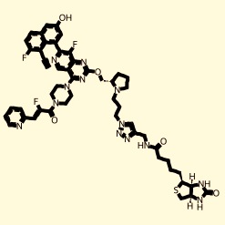 C#Cc1c(F)ccc2cc(O)cc(-c3ncc4c(N5CCN(C(=O)/C(F)=C/c6ccccn6)CC5)nc(OC[C@@H]5CCCN5CCCn5cc(CNC(=O)CCCC[C@@H]6SC[C@@H]7NC(=O)N[C@@H]76)nn5)nc4c3F)c12